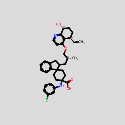 CC[C@@H]1CC[C@@H](O)c2nccc(OC[C@H](C)CC3Cc4ccccc4C34CCC(Nc3cccc(Cl)c3)(C(=O)O)CC4)c21